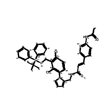 CC(=O)Nc1ccc(/C=C/C(=O)NCc2cccn2-c2ccc(Cl)c(CO[Si](c3ccccc3)(c3ccccc3)C(C)(C)C)c2Cl)cn1